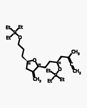 C=C=C(C)C[C@H](CC[C@@H]1O[C@@H](CCCO[Si](CC)(CC)CC)CC1=C)O[Si](CC)(CC)CC